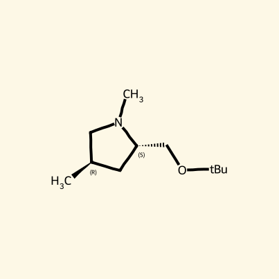 C[C@@H]1C[C@@H](COC(C)(C)C)N(C)C1